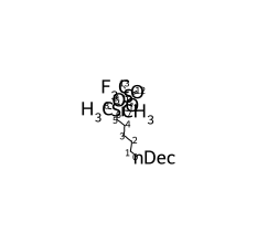 CCCCCCCCCCCCCCC[Si](C)(C)OS(=O)(=O)C(F)(F)F